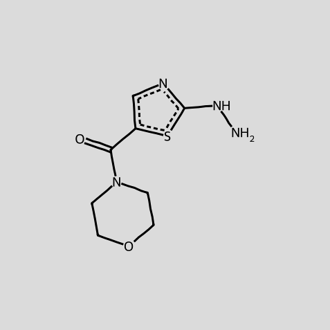 NNc1ncc(C(=O)N2CCOCC2)s1